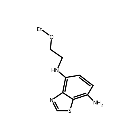 CCOCCNc1ccc(N)c2scnc12